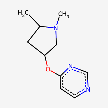 CC1CC(Oc2ccncn2)CN1C